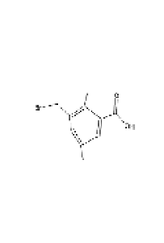 Cc1cc(CBr)c(C)c(C(=O)O)c1